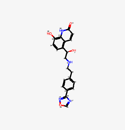 O=c1ccc2c([C@@H](O)CNCCc3ccc(-c4n[c]on4)cc3)ccc(O)c2[nH]1